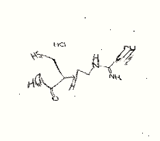 CC(=N)NCCN[C@H](CS)C(=O)O.Cl